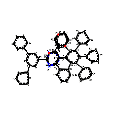 c1ccc(-c2cc(-c3ccccc3)cc(-c3nc(-c4ccccc4)nc(-c4ccccc4-c4c(-c5ccccc5)c(-c5ccccc5)c(-c5ccccc5)c(-c5ccccc5)c4-c4ccccc4)n3)c2)cc1